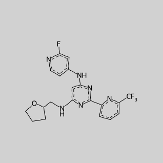 Fc1cc(Nc2cc(NCC3CCCO3)nc(-c3cccc(C(F)(F)F)n3)n2)ccn1